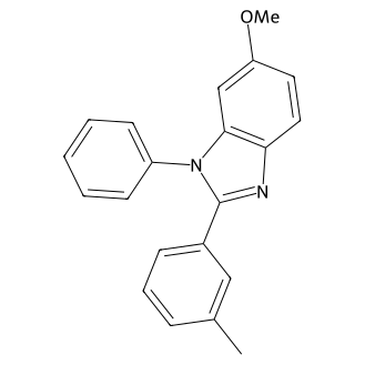 COc1ccc2nc(-c3cccc(C)c3)n(-c3ccccc3)c2c1